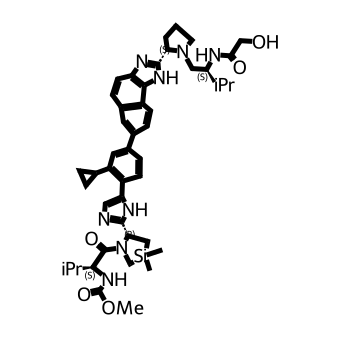 COC(=O)N[C@H](C(=O)N1C[Si](C)(C)C[C@H]1c1ncc(-c2ccc(-c3ccc4c(ccc5nc([C@@H]6CCCN6C[C@@H](NC(=O)CO)C(C)C)[nH]c54)c3)cc2C2CC2)[nH]1)C(C)C